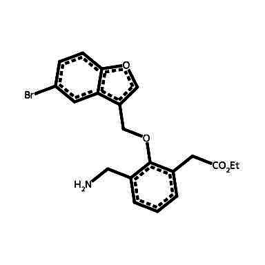 CCOC(=O)Cc1cccc(CN)c1OCc1coc2ccc(Br)cc12